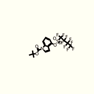 CC(C)(C)OC(=O)n1ccc2c(OS(=O)(=O)C(F)(F)C(F)(F)C(F)(F)C(F)(F)F)cccc21